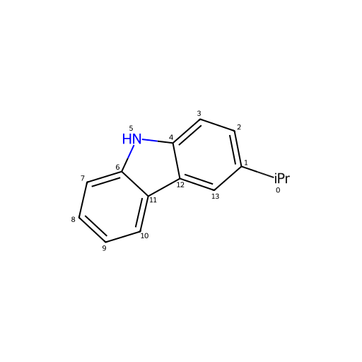 CC(C)c1ccc2[nH]c3ccccc3c2c1